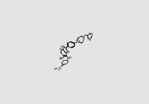 CN1CCC(Nc2c(Br)cnc3[nH]c(-c4ccc(N5CCN(Cc6cncnc6)CC5)cc4)nc23)CC1